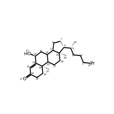 CC(C)CCC[C@@H](C)[C@H]1CCC2C3C[C@H](O)C4=CC(=O)CC[C@]4(C)C3CC[C@@]21C